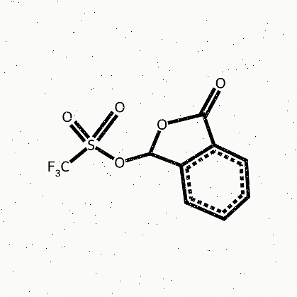 O=C1OC(OS(=O)(=O)C(F)(F)F)c2ccccc21